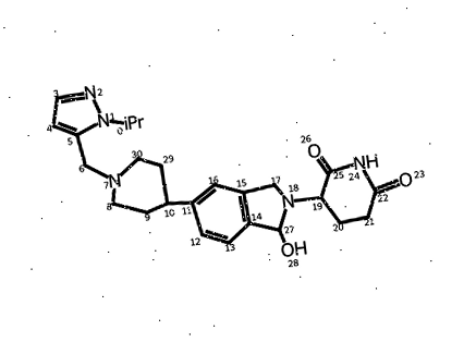 CC(C)n1nccc1CN1CCC(c2ccc3c(c2)CN(C2CCC(=O)NC2=O)C3O)CC1